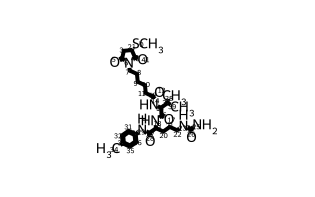 CSC1CC(=O)N(CCCCCC(=O)NC(C(=O)NC(CCCNC(N)=O)C(=O)Nc2ccc(C)cc2)C(C)C)C1=O